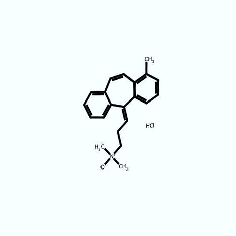 Cc1cccc2c1C=Cc1ccccc1C2=CCC[N+](C)(C)[O-].Cl